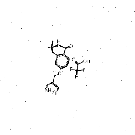 CC1(C)Cc2cc(OCC(=CF)CN)ccc2C(=O)N1.O=C(O)C(F)(F)F